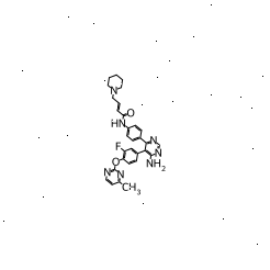 Cc1ccnc(Oc2ccc(-c3c(N)ncnc3-c3ccc(NC(=O)/C=C/CN4CCCCC4)cc3)cc2F)n1